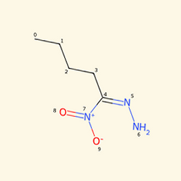 CCCCC(=NN)[N+](=O)[O-]